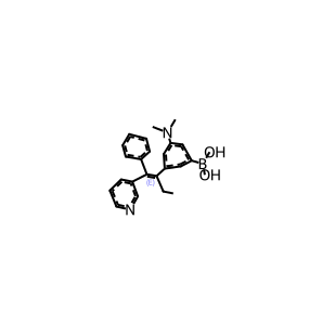 CC/C(=C(/c1ccccc1)c1cccnc1)c1cc(B(O)O)cc(N(C)C)c1